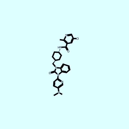 Cc1ncc(Cl)cc1C(=O)N[C@H]1CC[C@H](Cn2c(=O)n(-c3ccc(N(C)C)cn3)c3ccccc32)CC1